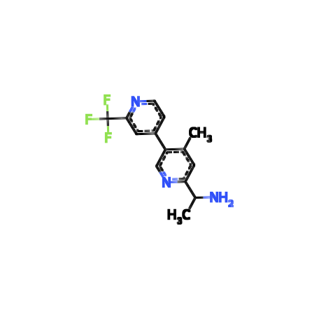 Cc1cc(C(C)N)ncc1-c1ccnc(C(F)(F)F)c1